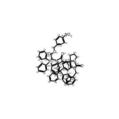 CC(=O)OC(C1C(=O)N(C(C(=O)OCc2ccc([N+](=O)[O-])cc2)=P(c2ccccc2)(c2ccccc2)c2ccccc2)C1SC(c1ccccc1)(c1ccccc1)c1ccccc1)C1CCCN1C(=O)OCc1ccccc1